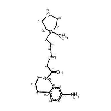 C[N+]1(CCCNCC(=O)N2CCCc3ccc(N)cc32)CCOCC1